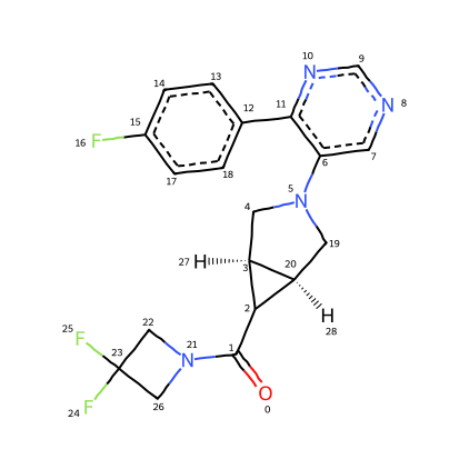 O=C(C1[C@H]2CN(c3cncnc3-c3ccc(F)cc3)C[C@@H]12)N1CC(F)(F)C1